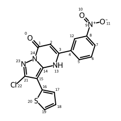 O=c1cc(-c2cccc([N+](=O)[O-])c2)[nH]c2c(-c3cccs3)c(Cl)nn12